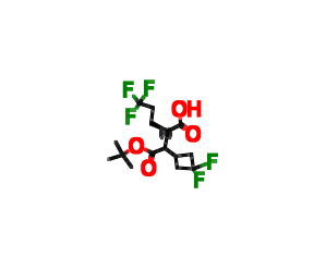 CC(C)(C)OC(=O)C(C1CC(F)(F)C1)[C@@H](CCC(F)(F)F)C(=O)O